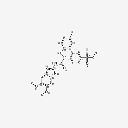 CCS(=O)(=O)c1ccc(C(Oc2ccc(C)cc2)C(=O)Nc2nc3cc(OC)c(OC)cc3s2)cc1